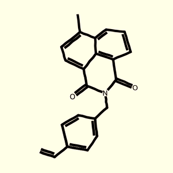 C=Cc1ccc(CN2C(=O)c3cccc4c(C)ccc(c34)C2=O)cc1